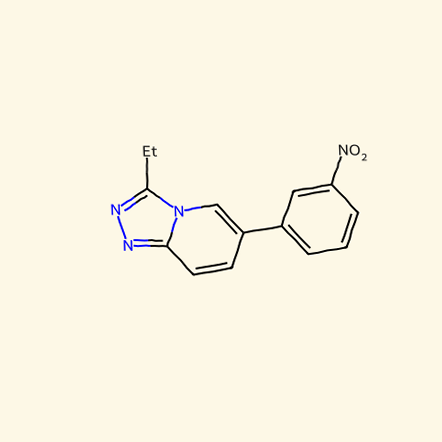 CCc1nnc2ccc(-c3cccc([N+](=O)[O-])c3)cn12